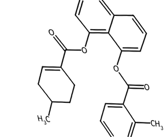 Cc1ccccc1C(=O)Oc1cccc2cccc(OC(=O)C3=CCC(C)CC3)c12